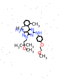 COCCOc1ccc(Nc2nc(-c3c(C)cccc3C)c3c(N)nn(CCC(C)(C)OC)c3n2)cc1